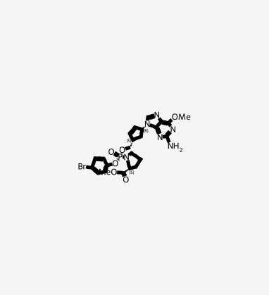 COC(=O)[C@@H]1CCCN1P(=O)(OC[C@@H]1C=C[C@H](n2cnc3c(OC)nc(N)nc32)C1)Oc1ccc(Br)cc1